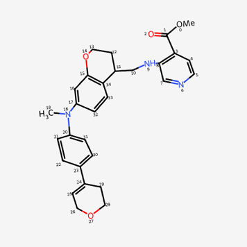 COC(=O)c1ccncc1NCC1CCOc2cc(N(C)c3ccc(C4=CCOCC4)cc3)ccc21